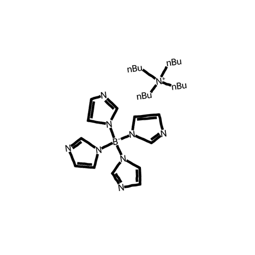 CCCC[N+](CCCC)(CCCC)CCCC.c1cn([B-](n2ccnc2)(n2ccnc2)n2ccnc2)cn1